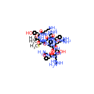 CSCC[C@H](NC(=O)[C@@H](NC(=O)[C@H](Cc1ccc(O)cc1)NC(=O)[C@@H](N)CCCCN)C(C)C)C(=O)NCC(=O)N[C@@H](Cc1c[nH]cn1)C(=O)N[C@@H](Cc1ccccc1)C(=O)N[C@@H](CCCNC(=N)N)C(=O)N[C@H](Cc1c[nH]c2ccccc12)C(=O)N[C@@H](CC(=O)O)C(=O)N[C@@H](CCCNC(=N)N)C(=O)N[C@H](Cc1ccccc1)C(=O)NCC(N)=O